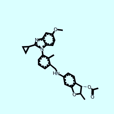 COc1ccc2c(c1)nc(C1CC1)n2-c1cccc(CNc2ccc3c(c2)OC(C)[C@H]3OC(C)=O)c1C